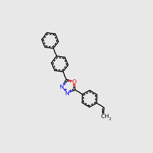 C=Cc1ccc(-c2nnc(-c3ccc(-c4ccccc4)cc3)o2)cc1